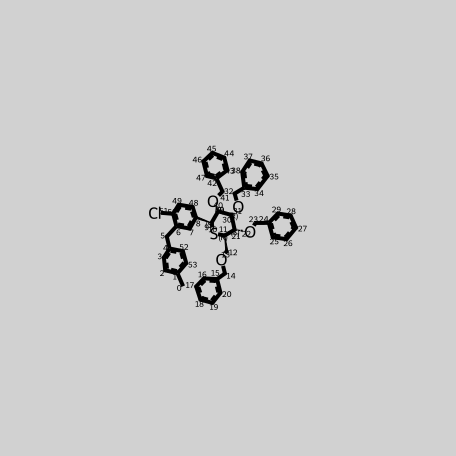 Cc1ccc(Cc2cc([C@@H]3S[C@H](COCc4ccccc4)[C@@H](OCc4ccccc4)[C@H](OCc4ccccc4)[C@H]3OCc3ccccc3)ccc2Cl)cc1